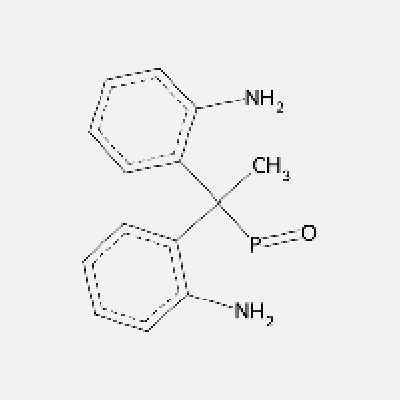 CC(P=O)(c1ccccc1N)c1ccccc1N